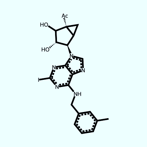 CC(=O)[C@]12CC1[C@@H](n1cnc3c(NCc4cccc(C)c4)nc(I)nc31)[C@H](O)C2O